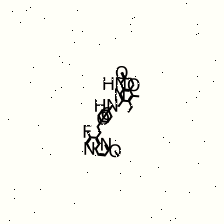 CCc1c(CNC23CCC(CCc4c(F)cnc5ccc(OC)nc45)(CC2)OC3)nc2c(c1C)OCC(=O)N2